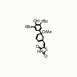 COC1(c2cc(C(C)(C)C)c(O)c(C(C)(C)C)c2)C=CC=C(C=C2SC(=O)NC2=O)C1